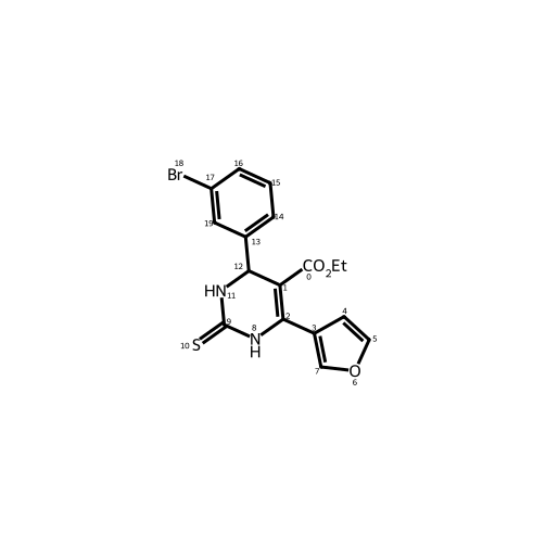 CCOC(=O)C1=C(c2ccoc2)NC(=S)NC1c1cccc(Br)c1